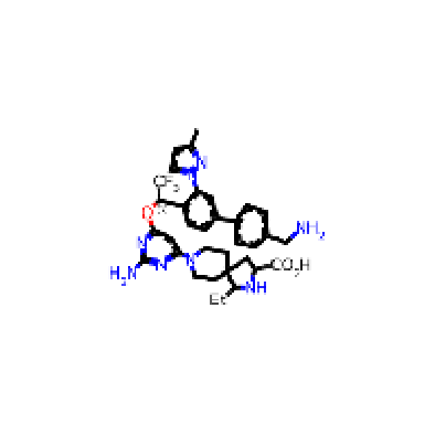 CCC1NC(C(=O)O)CC12CCN(c1cc(O[C@H](c3ccc(-c4ccc(CN)cc4)cc3-n3ccc(C)n3)C(F)(F)F)nc(N)n1)CC2